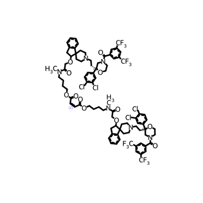 CN(CCCCOC(=O)/C=C\C(=O)OCCCCN(C)C(=O)COC1Cc2ccccc2C12CCN(CC[C@]1(c3ccc(Cl)c(Cl)c3)CN(C(=O)c3cc(C(F)(F)F)cc(C(F)(F)F)c3)CCO1)CC2)C(=O)COC1Cc2ccccc2C12CCN(CC[C@]1(c3ccc(Cl)c(Cl)c3)CN(C(=O)c3cc(C(F)(F)F)cc(C(F)(F)F)c3)CCO1)CC2